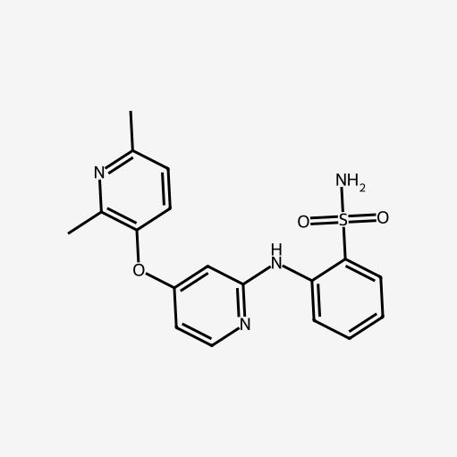 Cc1ccc(Oc2ccnc(Nc3ccccc3S(N)(=O)=O)c2)c(C)n1